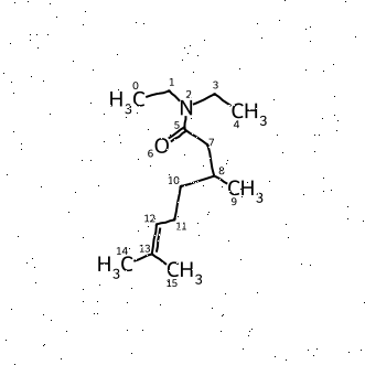 CCN(CC)C(=O)CC(C)CCC=C(C)C